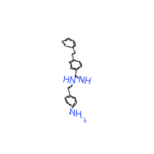 N=C(NC=Cc1ccc(N)cc1)c1ccc(C=Cc2ccccc2)cc1